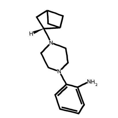 Nc1ccccc1N1CCN([C@@H]2CC3CC2C3)CC1